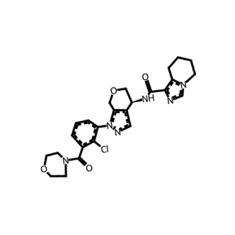 O=C(N[C@@H]1COCc2c1cnn2-c1cccc(C(=O)N2CCOCC2)c1Cl)c1ncn2c1CCCC2